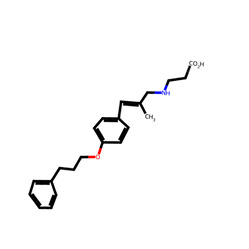 C/C(=C\c1ccc(OCCCc2ccccc2)cc1)CNCCC(=O)O